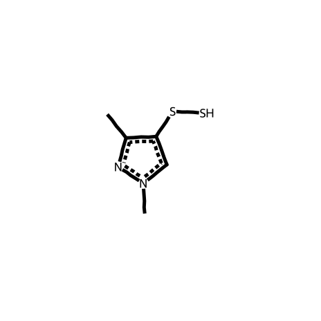 Cc1nn(C)cc1SS